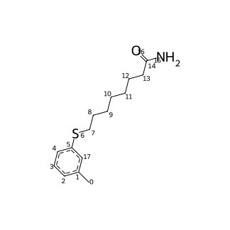 Cc1cccc(SCCCCCCCC(N)=O)c1